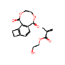 C=C(C)C(=O)OCCO.O=C1OCCOC(=O)c2c1ccc1c2CC1